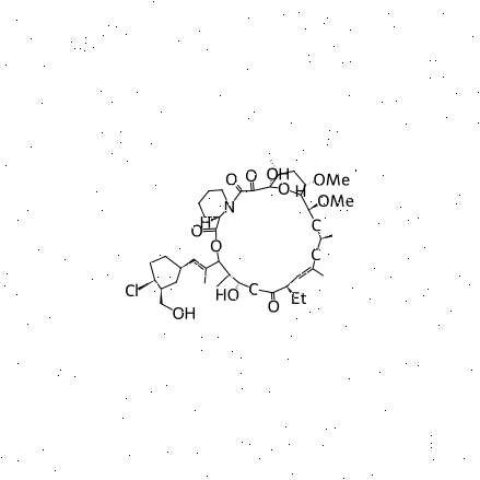 CC[C@@H]1/C=C(\C)C[C@H](C)C[C@H](OC)[C@H]2O[C@@](O)(C(=O)C(=O)N3CCCC[C@H]3C(=O)OC(/C(C)=C/[C@@H]3CC[C@H](Cl)[C@H](CO)C3)C(C)[C@@H](O)CC1=O)[C@H](C)C[C@@H]2OC